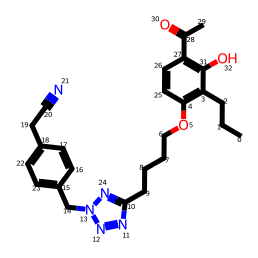 CCCc1c(OCCCCc2nnn(Cc3ccc(CC#N)cc3)n2)ccc(C(C)=O)c1O